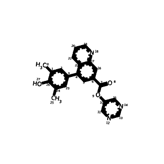 Cc1cc(-c2cc(C(=O)Oc3cncnc3)cc3ncccc23)cc(C)c1O